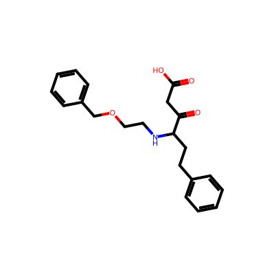 O=C(O)CC(=O)C(CCc1ccccc1)NCCOCc1ccccc1